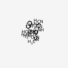 BC(B)(O)C(B)(B)Oc1cc(F)c(Nc2ncc(C#N)c(NC[C@@H]3CCCN4CCCC[C@H]34)n2)cc1-n1nnn(C)c1=O